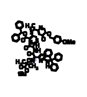 COc1ccc(COC2C=NC(C(C)SC3=C(C(=O)OC(c4ccccc4)c4ccccc4)N4C(=O)C(NC(=O)/C(=N\OC(C)(C)C(=O)OC(C)(C)C)c5csc(NC(c6ccccc6)(c6ccccc6)c6ccccc6)n5)[C@@H]4SC3)=CC2=O)cc1